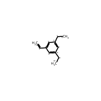 C=[C]c1cc(CC)cc(CC)c1